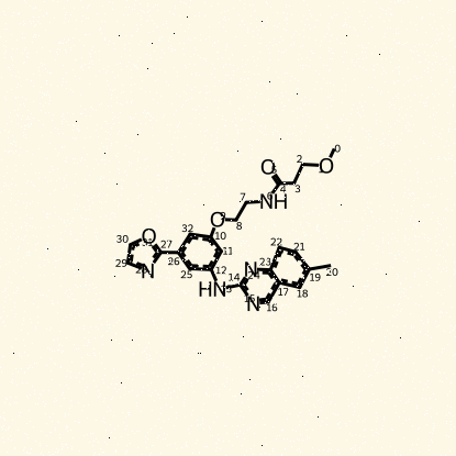 COCCC(=O)NCCOc1cc(Nc2ncc3cc(C)ccc3n2)cc(-c2ncco2)c1